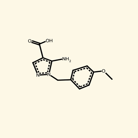 COc1ccc(Cn2ncc(C(=O)O)c2N)cc1